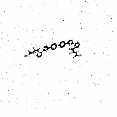 CC[C@H](NC(=O)OC)C(=O)N1CCC[C@H]1c1ncc(-c2ccc(-c3ccc(-c4cnc([C@@H]5CCCN5C(=O)[C@H](CC)NC(=O)OC)s4)cc3)cc2)s1